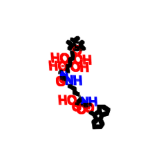 CC(C)[Si](OC[C@@H](O)[C@@H](O)[C@H](O)[C@@H](O)CN(C)C(=O)NCCCC[C@H](NC(=O)OCC1c2ccccc2-c2ccccc21)C(=O)O)(C(C)C)C(C)C